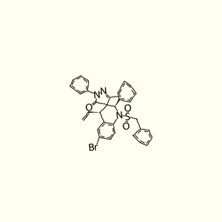 C=C[C@@H]1c2cc(Br)ccc2N(S(=O)(=O)Cc2ccccc2)[C@H](c2ccccc2)C12C(=O)N(c1ccccc1)N=C2C